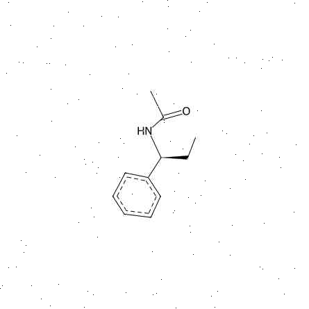 CC[C@H](NC(C)=O)c1ccccc1